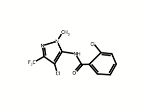 Cn1nc(C(F)(F)F)c(Cl)c1NC(=O)c1ccccc1Cl